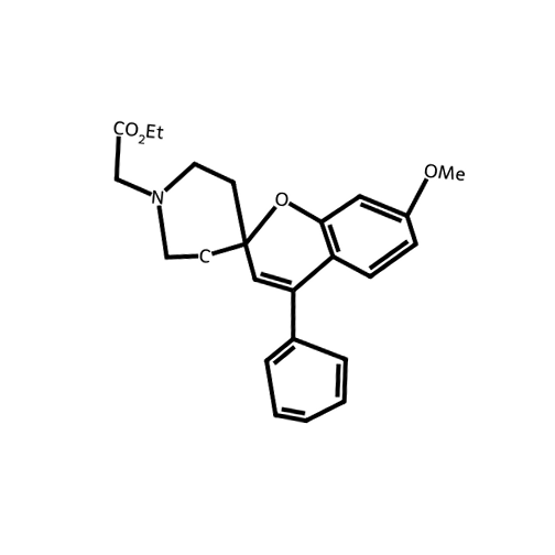 CCOC(=O)CN1CCC2(C=C(c3ccccc3)c3ccc(OC)cc3O2)CC1